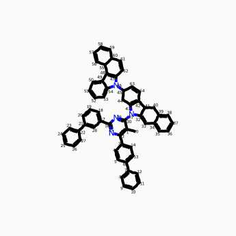 Cc1c(-c2ccc(-c3ccccc3)cc2)nc(-c2cccc(-c3ccccc3)c2)nc1N1C2=Cc3ccccc3CC2C2=C1CC(n1c3c(c4ccccc41)C1C=CC=CC1C=C3)C=C2